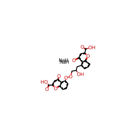 O=C(O)c1cc(=O)c2c(CC(O)COOc3cccc4oc(C(=O)O)cc(=O)c34)cccc2o1.[NaH].[NaH]